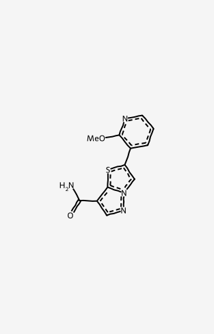 COc1ncccc1-c1cn2ncc(C(N)=O)c2s1